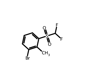 Cc1c(Br)cccc1S(=O)(=O)C(F)F